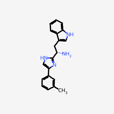 Cc1cccc(-c2c[nH]c([C@@H](N)Cc3c[nH]c4ccccc34)n2)c1